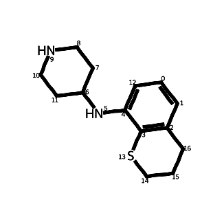 c1cc2c(c(NC3CCNCC3)c1)SCCC2